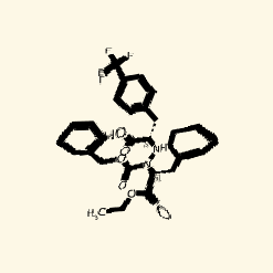 CCOC(=O)[C@H](Cc1ccccc1)N(N[C@@H](Cc1ccc(C(F)(F)F)cc1)C(=O)O)C(=O)OCc1ccccc1